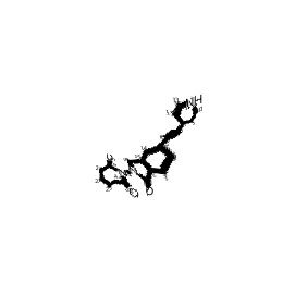 O=C1c2ccc(C#CC3CCNCC3)cc2CN1N1C(=O)CCCC1=O